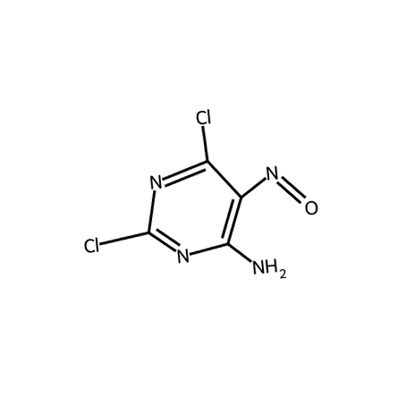 Nc1nc(Cl)nc(Cl)c1N=O